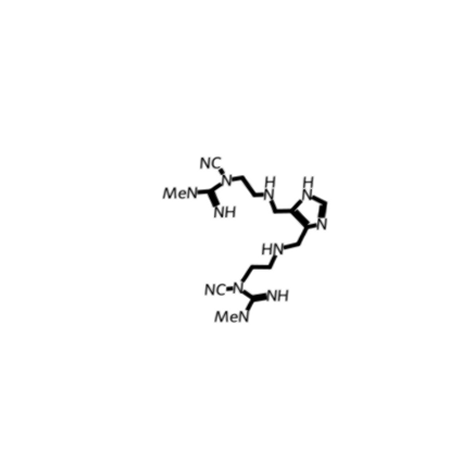 CNC(=N)N(C#N)CCNCc1nc[nH]c1CNCCN(C#N)C(=N)NC